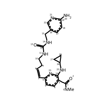 CNC(=O)c1ccc(/C=C\CCNC(=O)NCc2ccc(N)nc2)nc1NC1CC1